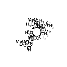 CC[C@H]1OC(=O)[C@H](C)[C@@H](O[C@H]2C[C@@](C)(OC)[C@@H](O)[C@H](C)O2)[C@H](C)[C@@H](OC2C[C@@H](N(C)C)C[C@@H](C)O2)[C@](C)(OC)C[C@@H](C)C(=O)[C@H](C)[C@H]2[C@H](SCCN(Cc3cccnc3)c3ccc(OC)c(OC4CCCC4)c3)C(=O)O[C@@]21C